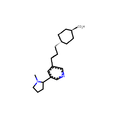 CN1CCCC1c1cncc(CCC[C@H]2CC[C@H](C(=O)O)CC2)c1